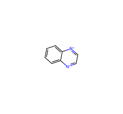 C1=[N+]c2ccccc2[N+]=C1